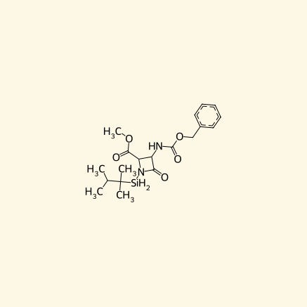 COC(=O)C1C(NC(=O)OCc2ccccc2)C(=O)N1[SiH2]C(C)(C)C(C)C